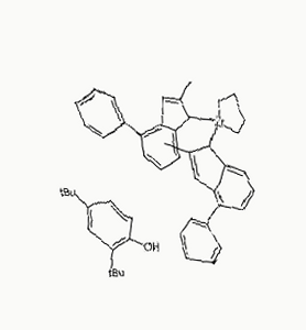 CC(C)(C)c1ccc(O)c(C(C)(C)C)c1.CC1=Cc2c(-c3ccccc3)cccc2[CH]1[Zr]1([CH]2C(C)=Cc3c(-c4ccccc4)cccc32)[CH2]CC[CH2]1